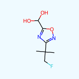 CC(C)(CF)c1noc(C(O)O)n1